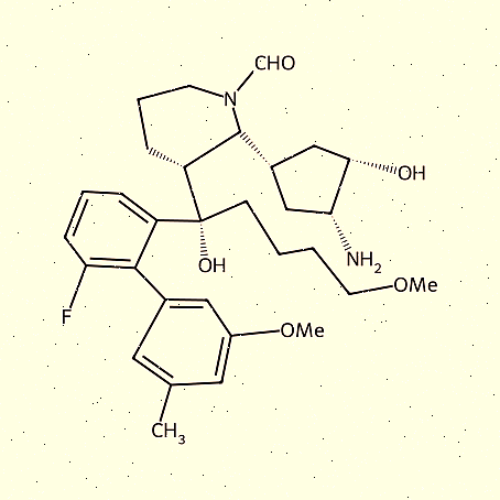 COCCCC[C@@](O)(c1cccc(F)c1-c1cc(C)cc(OC)c1)[C@@H]1CCCN(C=O)C1[C@H]1C[C@@H](N)[C@@H](O)C1